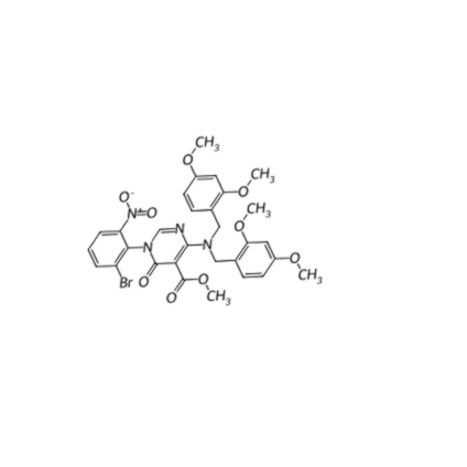 COC(=O)c1c(N(Cc2ccc(OC)cc2OC)Cc2ccc(OC)cc2OC)ncn(-c2c(Br)cccc2[N+](=O)[O-])c1=O